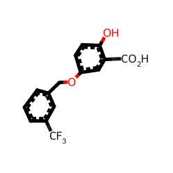 O=C(O)c1cc(OCc2cccc(C(F)(F)F)c2)ccc1O